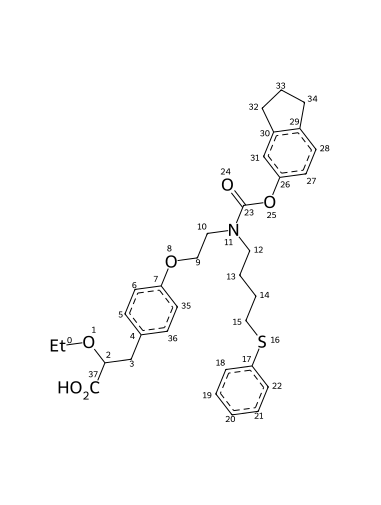 CCOC(Cc1ccc(OCCN(CCCCSc2ccccc2)C(=O)Oc2ccc3c(c2)CCC3)cc1)C(=O)O